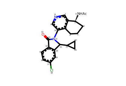 CC(=O)N[C@H]1CCCc2c1cncc2N1C(=O)c2ccc(Cl)cc2C1C1CC1